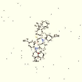 CC(C)(C)c1ccc(N2c3ccc(C(C)(C)C)cc3B3c4sc5cc6c(cc5c4N(c4ccc(C(C)(C)C)cc4)c4ccc(-c5ccccc5)c2c43)-c2ccccc2C6(C)C)cc1